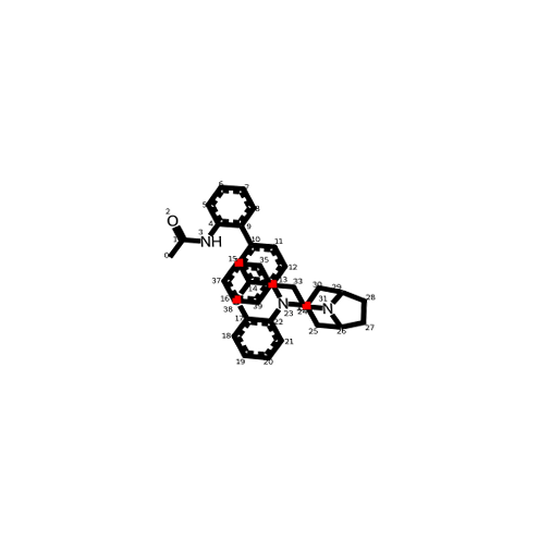 CC(=O)Nc1ccccc1-c1ccc2c(c1)Sc1ccccc1N2C1CC2CCC(C1)N2CCc1ccccc1